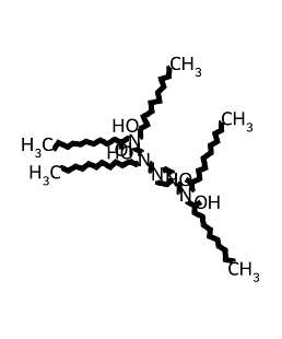 CCCCCCCCCCCC(O)CN(CCN1CCN(CCN(CC(O)CCCCCCCCCCC)CC(O)CCCCCCCCCCC)CC1)CCN(CC(O)CCCCCCCCCCC)CC(O)CCCCCCCCCCC